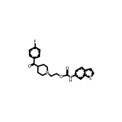 O=C(Nc1ccc2ccsc2c1)OCCN1CCC(C(=O)c2ccc(F)cc2)CC1